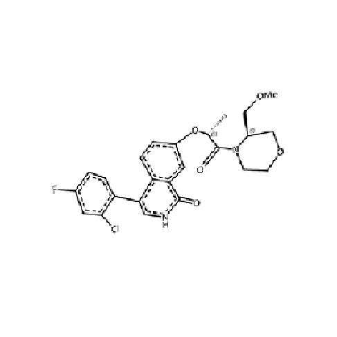 COC[C@H]1COCCN1C(=O)[C@@H](C)Oc1ccc2c(-c3ccc(F)cc3Cl)c[nH]c(=O)c2c1